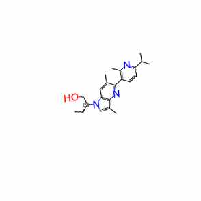 CC[C@@H](CO)n1cc(C)c2nc(-c3ccc(C(C)C)nc3C)c(C)cc21